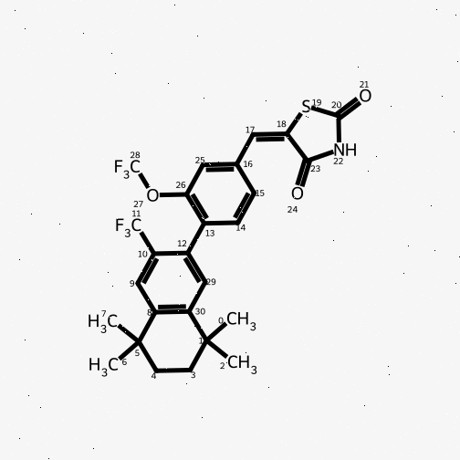 CC1(C)CCC(C)(C)c2cc(C(F)(F)F)c(-c3ccc(C=C4SC(=O)NC4=O)cc3OC(F)(F)F)cc21